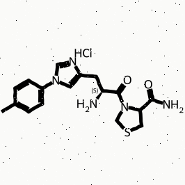 Cc1ccc(-n2cnc(C[C@H](N)C(=O)N3CSCC3C(N)=O)c2)cc1.Cl